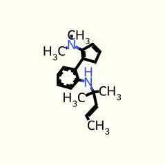 CC=CC(C)(C)Nc1ccccc1C1=C(N(C)C)C=CC1